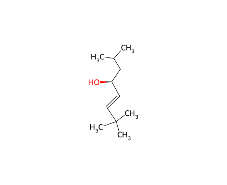 CC(C)C[C@H](O)C=CC(C)(C)C